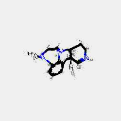 CN1CCN2c3c(cccc31)[C@H]1C=NCCC12